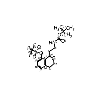 CC(C)(C)OC(=O)NCCC1OCCc2cccc(OS(=O)(=O)C(F)(F)F)c21